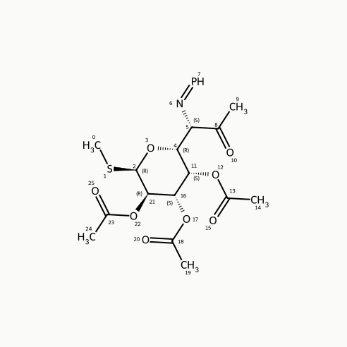 CS[C@H]1O[C@H]([C@H](N=P)C(C)=O)[C@H](OC(C)=O)[C@H](OC(C)=O)[C@H]1OC(C)=O